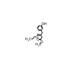 CCCON=C(CC(=O)OC)Cc1cccc(O)c1